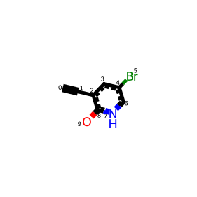 C#Cc1cc(Br)c[nH]c1=O